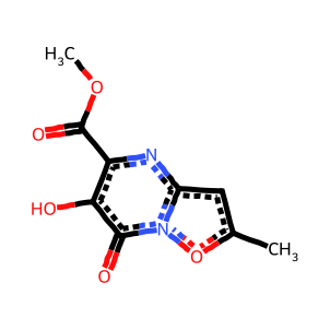 COC(=O)c1nc2cc(C)on2c(=O)c1O